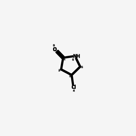 O=C1CC(Cl)CN1